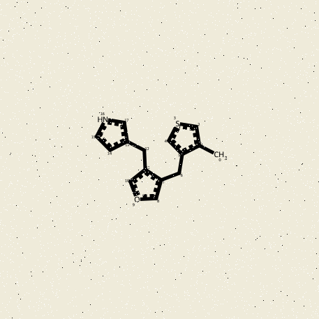 Cc1cscc1Cc1cocc1Cc1cc[nH]c1